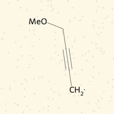 [CH2]C#CCOC